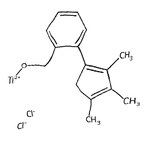 CC1=C(C)C(C)=C(c2ccccc2C[O][Ti+2])C1.[Cl-].[Cl-]